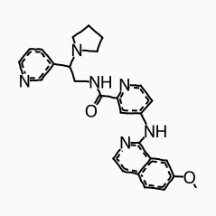 COc1ccc2ccnc(Nc3ccnc(C(=O)NCC(c4cccnc4)N4CCCC4)c3)c2c1